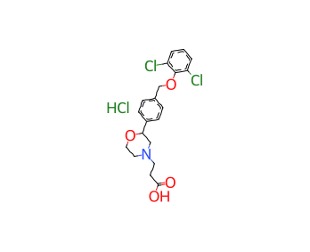 Cl.O=C(O)CCN1CCOC(c2ccc(COc3c(Cl)cccc3Cl)cc2)C1